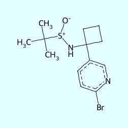 CC(C)(C)[S+]([O-])NC1(c2ccc(Br)nc2)CCC1